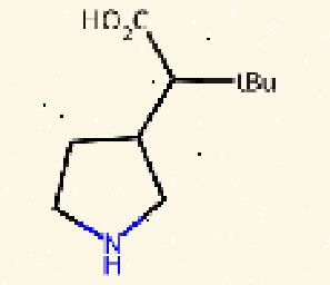 CC(C)(C)C(C(=O)O)C1CCNC1